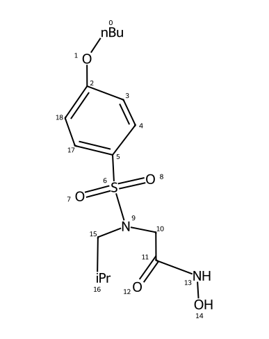 CCCCOc1ccc(S(=O)(=O)N(CC(=O)NO)CC(C)C)cc1